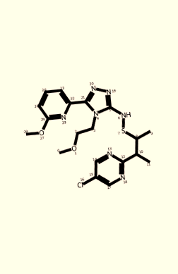 COCCn1c(NSC(C)C(C)c2ncc(Cl)cn2)nnc1-c1cccc(OC)n1